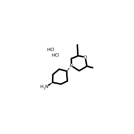 CC1CN([C@H]2CC[C@H](N)CC2)CC(C)O1.Cl.Cl